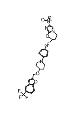 O=[N+]([O-])c1cn2c(n1)OC(COc1ccc(N3CCC(OCc4cc5cc(C(F)(F)F)ccc5o4)CC3)cc1)CC2